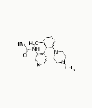 Cc1cccc(N2CCN(C)CC2)c1-c1ccncc1NC(=O)C(C)(C)C